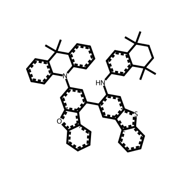 CC1(C)CCC(C)(C)c2cc(Nc3cc4sc5ccccc5c4cc3-c3cc(N4c5ccccc5C(C)(C)c5ccccc54)cc4oc5ccccc5c34)ccc21